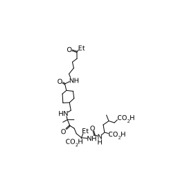 CCC(=O)CCCCNC(=O)C1CCC(CNC(C)(C)C(=O)CCC(CC)(NC(=O)NC(CC(C)CC(=O)O)C(=O)O)C(=O)O)CC1